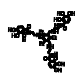 CCc1c(CNCCNC(=O)c2ccc(O)c(O)c2O)c(CC)c(CNCCNC(=O)c2ccc(O)c(O)c2O)c(CC)c1CNCCNC(=O)c1ccc(O)c(O)c1O